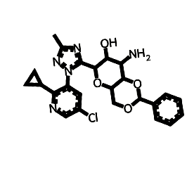 Cc1nc(C2OC3COC(c4ccccc4)OC3C(N)C2O)n(-c2cc(Cl)cnc2C2CC2)n1